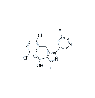 Cc1nc(-c2cncc(F)c2)n(Cc2cc(Cl)ccc2Cl)c1C(=O)O